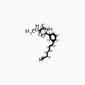 COC(=O)[C@@H](C)NC(=O)c1cccc(C=CCCCC#N)c1